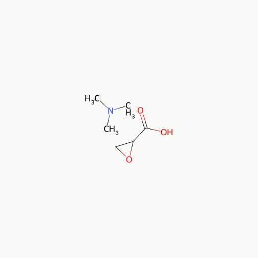 CN(C)C.O=C(O)C1CO1